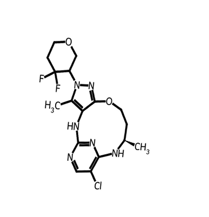 Cc1c2c(nn1C1COCCC1(F)F)OCC[C@@H](C)Nc1nc(ncc1Cl)N2